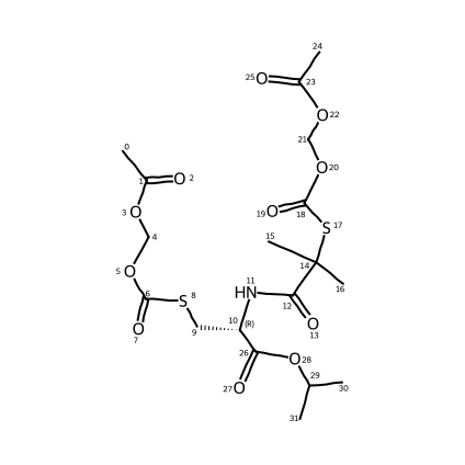 CC(=O)OCOC(=O)SC[C@H](NC(=O)C(C)(C)SC(=O)OCOC(C)=O)C(=O)OC(C)C